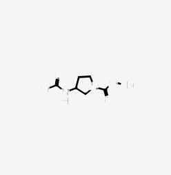 CC(C)(C)OC(=O)N1CCC(NC(=O)C(C)(C)C)C1